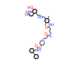 Cc1cc(NC(=O)CCCN(C)C(=O)CCN2CCC(OC(=O)Nc3ccccc3-c3ccccc3)CC2)c(C)cc1CNCCc1ccc(O)c2[nH]c(=O)ccc12